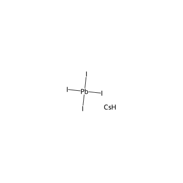 [CsH].[I][Pb]([I])([I])[I]